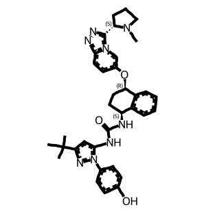 CN1CCC[C@H]1c1nnc2ccc(O[C@@H]3CC[C@H](NC(=O)Nc4cc(C(C)(C)C)nn4-c4ccc(O)cc4)c4ccccc43)cn12